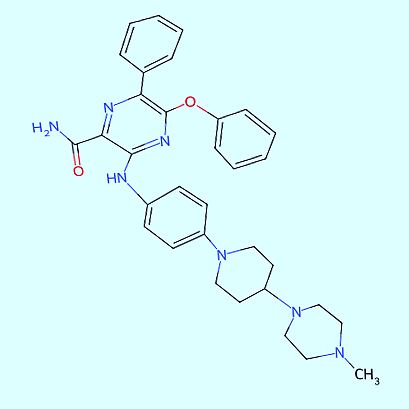 CN1CCN(C2CCN(c3ccc(Nc4nc(Oc5ccccc5)c(-c5ccccc5)nc4C(N)=O)cc3)CC2)CC1